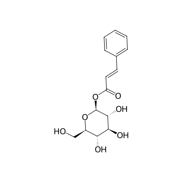 O=C(/C=C/c1ccccc1)O[C@@H]1O[C@H](CO)[C@@H](O)[C@H](O)[C@H]1O